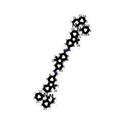 CC1(C)c2cc(/C=C/c3ccc4c(c3)C(C)(C)c3cc(N(c5ccccc5)c5nccc6ccccc56)ccc3-4)ccc2-c2ccc(/C=C/c3ccc4c(c3)C(C)(C)c3cc(N(c5ccccc5)c5nccc6ccccc56)ccc3-4)cc21